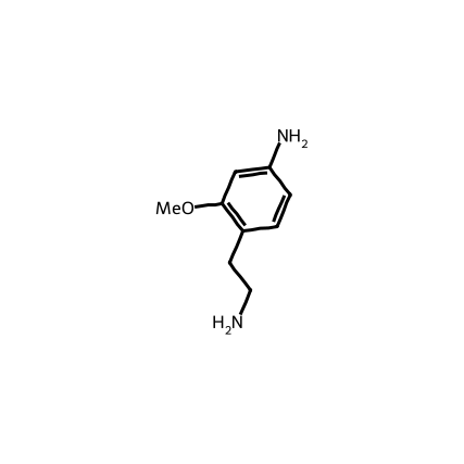 COc1cc(N)ccc1CCN